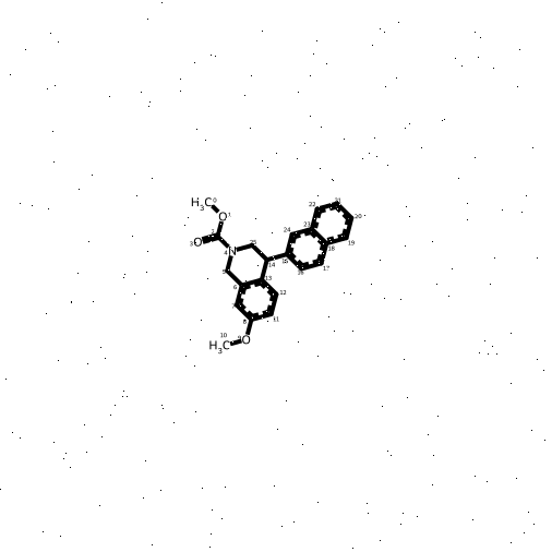 COC(=O)N1Cc2cc(OC)ccc2C(c2ccc3ccccc3c2)C1